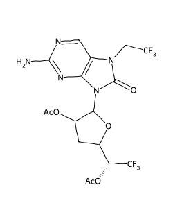 CC(=O)OC1CC([C@@H](OC(C)=O)C(F)(F)F)OC1n1c(=O)n(CC(F)(F)F)c2cnc(N)nc21